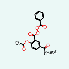 CCCCCCCC(=O)c1ccc(OC(=O)CC)c(C(=O)OOC(=O)c2ccccc2)c1